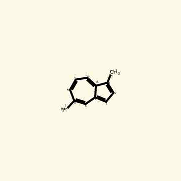 Cc1ccc2cc(C(C)C)cccc1-2